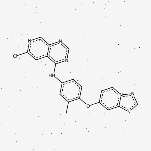 Cc1cc(Nc2ncnc3cnc(Cl)cc23)ccc1Oc1ccn2ncnc2c1